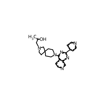 C[C@@H](O)CN1CCC2(CCN(c3nc(-c4ccncc4)nc4cnccc34)CC2)C1